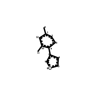 Cc1ccc(-c2c[c]oc2)c(C)c1